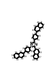 c1ccc2cc(-c3ccc(-c4nc(-c5ccc6ccccc6c5)n(-c5ccc(-c6ccc7ccccc7c6)cc5)n4)cc3)ccc2c1